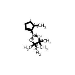 CC1CCC=C1B1OC(C)(C)C(C)(C)O1